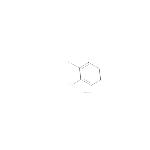 CC.CC(C)C1=CC[CH]C=C1[N+](=O)[O-]